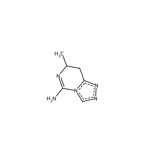 CC1Cc2nncn2C(N)=N1